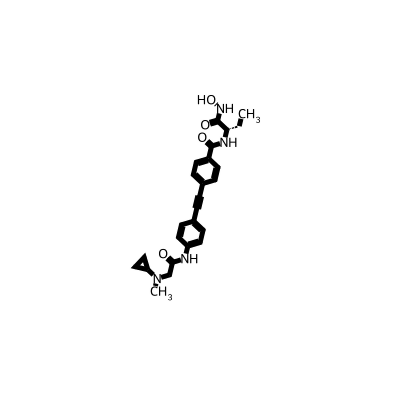 CC[C@H](NC(=O)c1ccc(C#Cc2ccc(NC(=O)CN(C)C3CC3)cc2)cc1)C(=O)NO